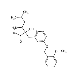 COc1ccccc1COc1ccnc(CC(O)(C(=O)O)C(N)CC(C)C)c1